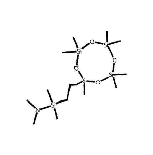 CN(C)[Si](C)(C)CC[Si]1(C)O[Si](C)(C)O[Si](C)(C)O[Si](C)(C)O1